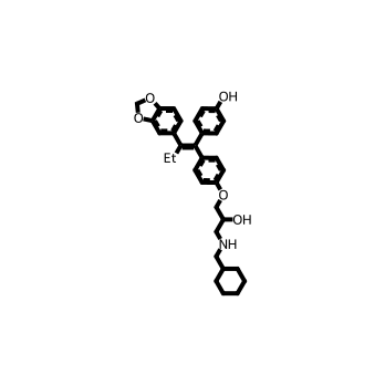 CC/C(=C(/c1ccc(O)cc1)c1ccc(OCC(O)CNCC2CCCCC2)cc1)c1ccc2c(c1)OCO2